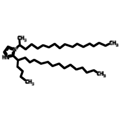 CCCCCCCCCCCCCCCCC(C)[n+]1cc[nH]c1C(CCCC)CCCCCCCCCCCCCC